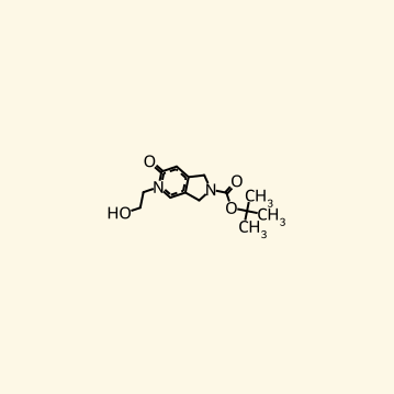 CC(C)(C)OC(=O)N1Cc2cc(=O)n(CCO)cc2C1